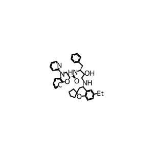 CCc1ccc2c(c1)[C@@H](NC[C@@H](O)[C@H](Cc1ccccc1)NC(=O)[C@H]1CN(c3ccccn3)c3ccccc3O1)CC1(CCCC1)O2